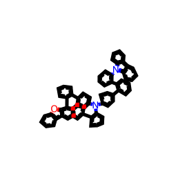 c1ccc(-c2ccccc2N(c2ccc(-c3ccccc3-c3ccccc3-n3c4ccccc4c4ccccc43)cc2)c2ccc(-c3ccccc3-c3cccc4c3oc3ccccc34)cc2)cc1